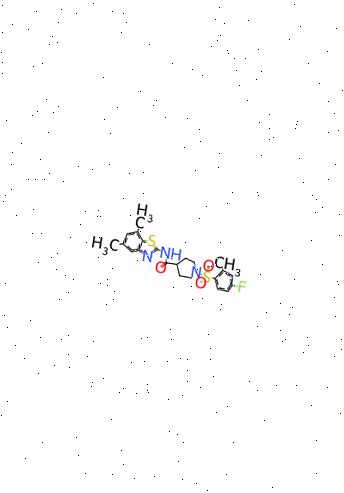 Cc1cc(C)c2sc(NC(=O)C3CCN(S(=O)(=O)c4ccc(F)cc4C)CC3)nc2c1